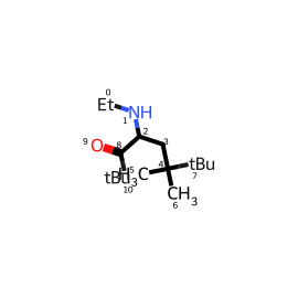 CCNC(CC(C)(C)C(C)(C)C)C(=O)C(C)(C)C